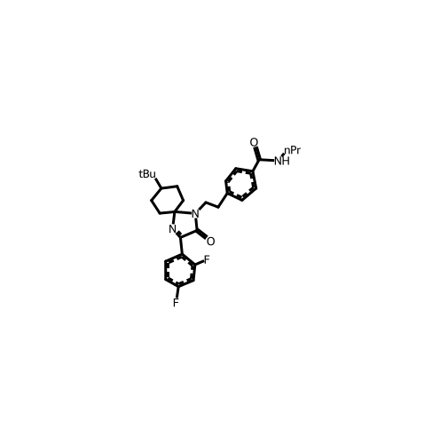 CCCNC(=O)c1ccc(CCN2C(=O)C(c3ccc(F)cc3F)=NC23CCC(C(C)(C)C)CC3)cc1